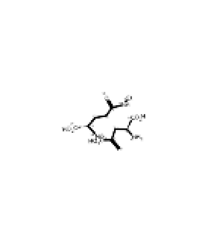 C=C(C[C@H](N)C(=O)O)C(=O)O.CCNC(=O)CC[C@H](N)C(=O)O